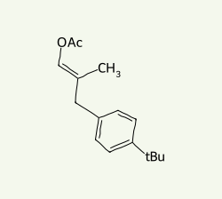 CC(=O)O/C=C(\C)Cc1ccc(C(C)(C)C)cc1